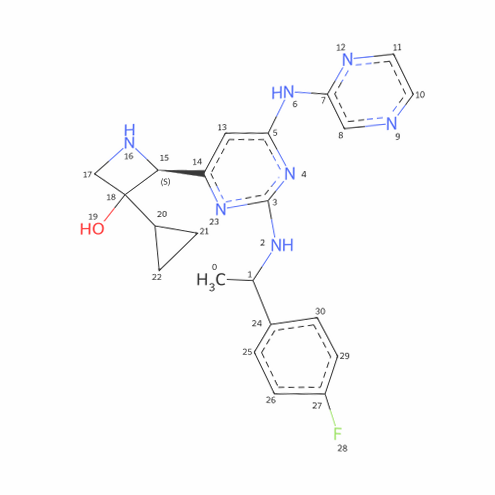 CC(Nc1nc(Nc2cnccn2)cc([C@@H]2NCC2(O)C2CC2)n1)c1ccc(F)cc1